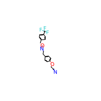 N#CCOc1ccc(CC=NOCc2ccc(C(F)(F)F)cc2)cc1